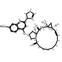 COc1ccc2c(O[C@@H]3C[C@H]4C(=O)N[C@]5(C)C[C@H]5/C=C\CCCCCCC(=O)N4C3)cc(C3CSC=N3)nc2c1